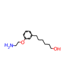 NCCOc1cccc(CCCCCCO)c1